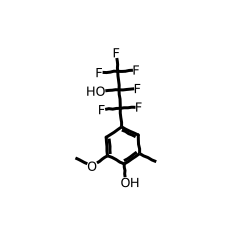 COc1cc(C(F)(F)C(O)(F)C(F)(F)F)cc(C)c1O